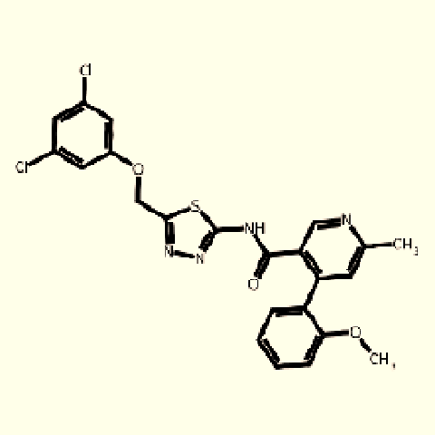 COc1ccccc1-c1cc(C)ncc1C(=O)Nc1nnc(COc2cc(Cl)cc(Cl)c2)s1